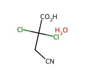 N#CCC(Cl)(Cl)C(=O)O.O